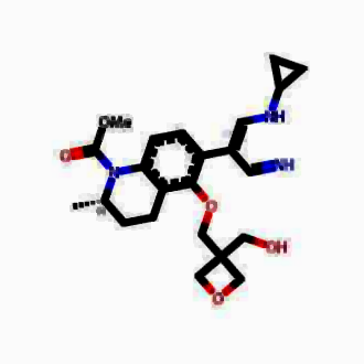 COC(=O)N1c2ccc(/C(C=N)=C/NC3CC3)c(OCC3(CO)COC3)c2CC[C@@H]1C